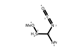 CCCC(N=C=O)[SiH2]OC